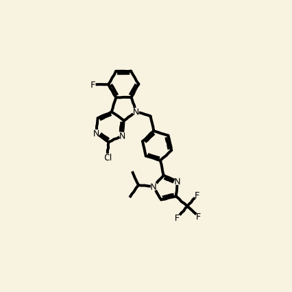 CC(C)n1cc(C(F)(F)F)nc1-c1ccc(Cn2c3cccc(F)c3c3cnc(Cl)nc32)cc1